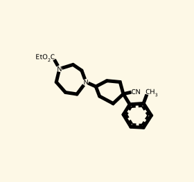 CCOC(=O)N1CCCN(C2CCC(C#N)(c3ccccc3C)CC2)CC1